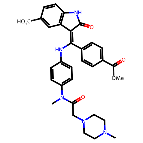 COC(=O)c1ccc(C(Nc2ccc(N(C)C(=O)CN3CCN(C)CC3)cc2)=C2C(=O)Nc3ccc(C(=O)O)cc32)cc1